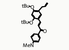 C=CCc1cc(C=CC(=O)c2ccc(NC)cc2)c(OC(C)(C)C)cc1OC(C)(C)C